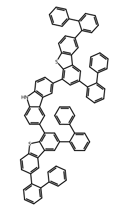 c1ccc(-c2ccccc2-c2ccc3sc4c(-c5ccc6[nH]c7ccc(-c8cc(-c9ccccc9-c9ccccc9)cc9c8sc8ccc(-c%10ccccc%10-c%10ccccc%10)cc89)cc7c6c5)cc(-c5ccccc5-c5ccccc5)cc4c3c2)cc1